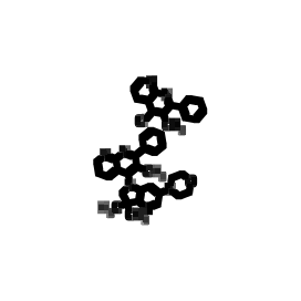 Cc1c(-c2ccccc2)nc2ncccc2c1Cl.Cc1c(-c2ccccc2)nc2ncccc2c1N1CC(C)(C)c2ncc(N3CCOCC3)cc21